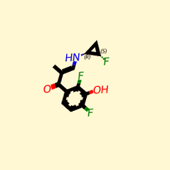 CC(=CN[C@@H]1C[C@@H]1F)C(=O)c1ccc(F)c(O)c1F